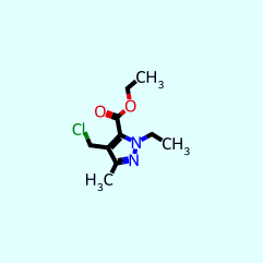 CCOC(=O)c1c(CCl)c(C)nn1CC